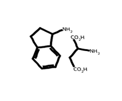 NC(CC(=O)O)C(=O)O.NC1CCc2ccccc21